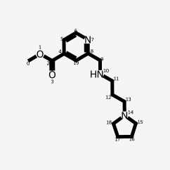 COC(=O)c1ccnc(CNCCCN2CCCC2)c1